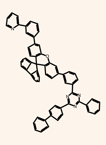 c1ccc(-c2ccc(-c3nc(-c4ccccc4)nc(-c4cccc(-c5ccc6c(c5)Oc5cc(-c7cccc(-c8ccccn8)c7)ccc5C65c6ccccc6-c6ccccc65)c4)n3)cc2)cc1